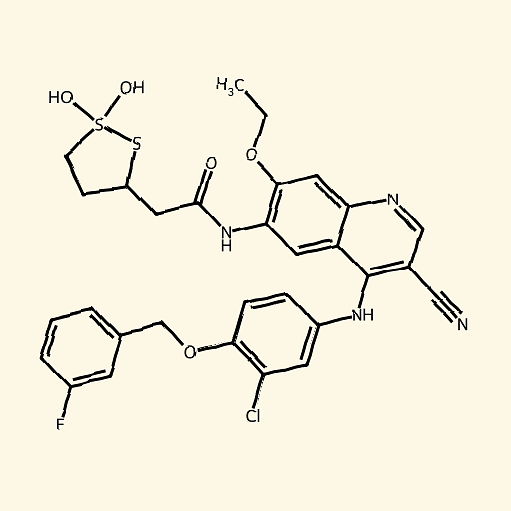 CCOc1cc2ncc(C#N)c(Nc3ccc(OCc4cccc(F)c4)c(Cl)c3)c2cc1NC(=O)CC1CCS(O)(O)S1